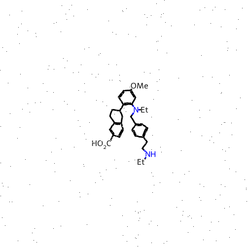 CCNCCc1ccc(CN(CC)c2cc(OC)ccc2C2CCc3cc(C(=O)O)ccc3C2)cc1